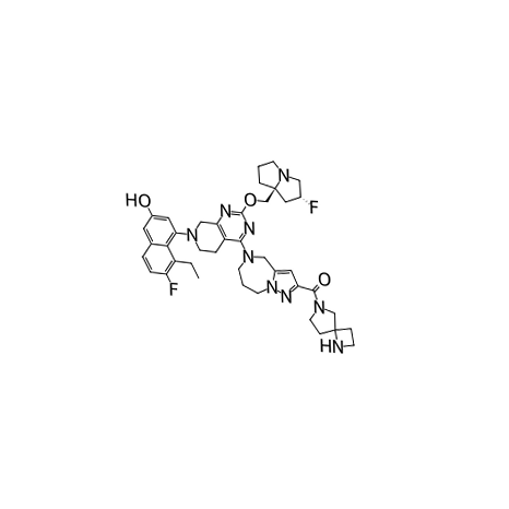 CCc1c(F)ccc2cc(O)cc(N3CCc4c(nc(OC[C@@]56CCCN5C[C@H](F)C6)nc4N4CCCn5nc(C(=O)N6CCC7(CCN7)C6)cc5C4)C3)c12